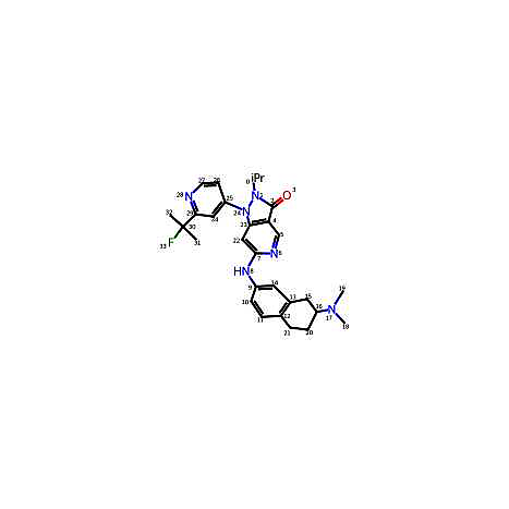 CC(C)n1c(=O)c2cnc(Nc3ccc4c(c3)CC(N(C)C)CC4)cc2n1-c1ccnc(C(C)(C)F)c1